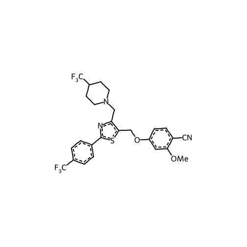 COc1cc(OCc2sc(-c3ccc(C(F)(F)F)cc3)nc2CN2CCC(C(F)(F)F)CC2)ccc1C#N